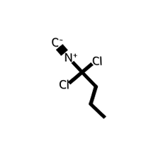 [C-]#[N+]C(Cl)(Cl)CCC